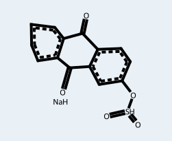 O=C1c2ccccc2C(=O)c2cc(O[SH](=O)=O)ccc21.[NaH]